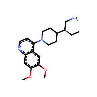 CC[C@H](CN)C1CCN(c2ccnc3cc(OC)c(OC)cc23)CC1